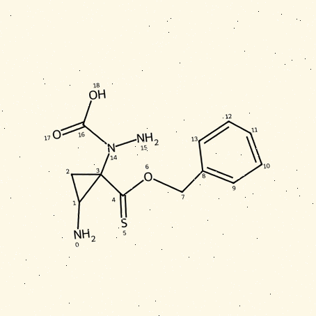 NC1CC1(C(=S)OCc1ccccc1)N(N)C(=O)O